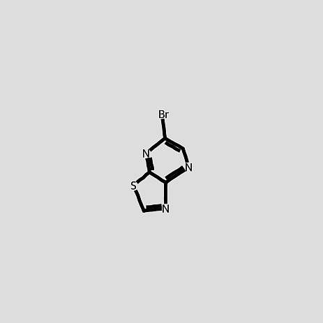 Brc1cnc2ncsc2n1